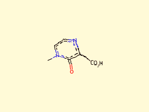 Cn1ccnc(C(=O)O)c1=O